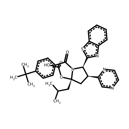 CC(C)C[C@]1(OC(=O)O)C[C@H](c2cnccn2)[C@H](c2nc3ccccc3s2)N1C(=O)c1ccc(C(C)(C)C)cc1